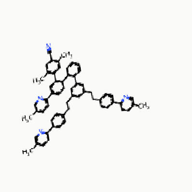 Cc1ccc(-c2ccc(CCc3cc(CCc4ccc(-c5ccc(C)cn5)cc4)cc(-c4ccccc4-c4ccc(-c5ccc(C)cn5)cc4-c4cc(C)c(C#N)cc4C)c3)cc2)nc1